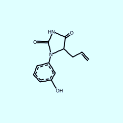 C=CCC1C(=O)NC(=O)N1c1cccc(O)c1